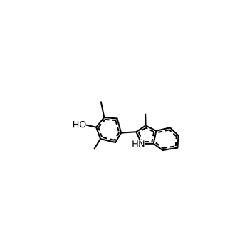 Cc1cc(-c2[nH]c3ccccc3c2C)cc(C)c1O